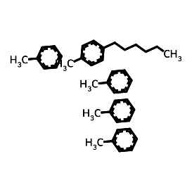 CCCCCCc1ccc(C)cc1.Cc1ccccc1.Cc1ccccc1.Cc1ccccc1.Cc1ccccc1